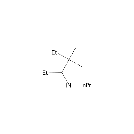 CCCNC(CC)C(C)(C)CC